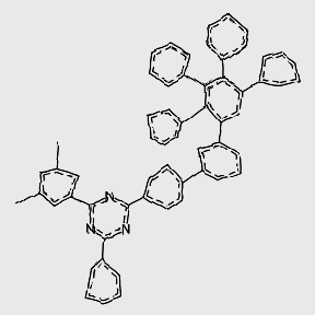 Cc1cc(C)cc(-c2nc(-c3ccccc3)nc(-c3ccc(-c4cccc(-c5cc(-c6ccccc6)c(-c6ccccc6)c(-c6ccccc6)c5-c5ccccc5)c4)cc3)n2)c1